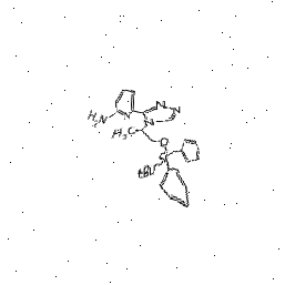 C[C@H](CO[Si](c1ccccc1)(c1ccccc1)C(C)(C)C)n1cnnc1-c1cccc(N)n1